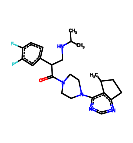 CC(C)NCC(C(=O)N1CCN(c2ncnc3c2C(C)CC3)CC1)c1ccc(F)c(F)c1